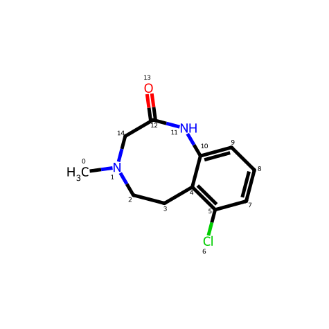 CN1CCc2c(Cl)cccc2NC(=O)C1